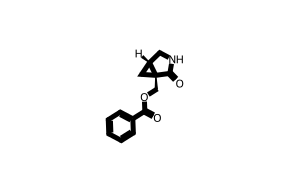 O=C(OC[C@@]12C[C@@H]1CNC2=O)c1ccccc1